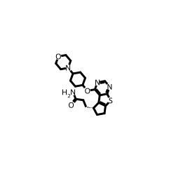 NC(=O)CC[C@H]1CCc2sc3ncnc(OC4CCC(N5CCOCC5)CC4)c3c21